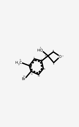 Cc1cc(C2(O)COC2)ccc1Br